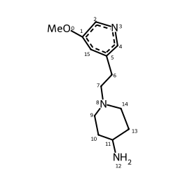 COc1cncc(CCN2CCC(N)CC2)c1